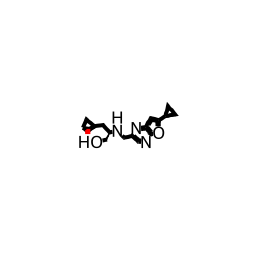 OC[C@@H](CC12CC(C1)C2)NCc1cnc2oc(C3CC3)cc2n1